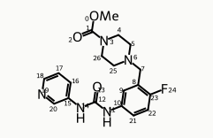 COC(=O)N1CCN(Cc2cc(NC(=O)Nc3cccnc3)ccc2F)CC1